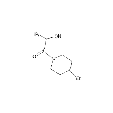 CCC1CCN(C(=O)C(O)C(C)C)CC1